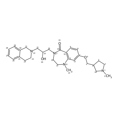 CN1CCC(COc2ccc3c(c2)N(C)CCN(CC(O)CN2CCc4ccccc4C2)C3=O)C1